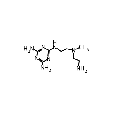 CN(CCN)CCNc1nc(N)nc(N)n1